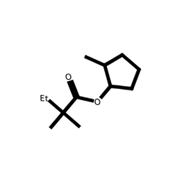 CCC(C)(C)C(=O)OC1CCCC1C